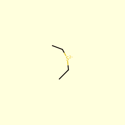 CC[S-2]CC